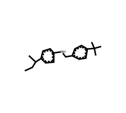 CCC(C)c1ccc(NCc2ccc(C(C)(C)C)cc2)cc1